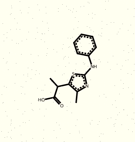 Cc1nc(Nc2ccccc2)sc1C(C)C(=O)O